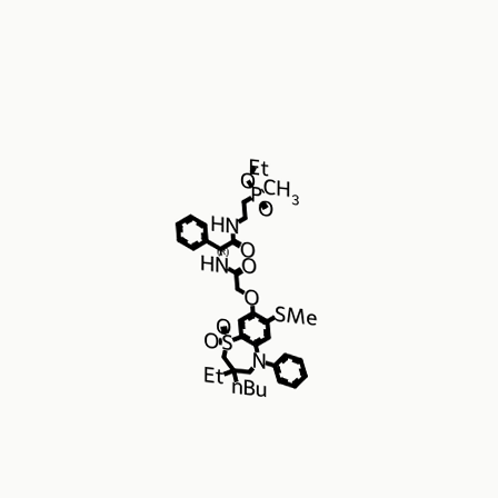 CCCCC1(CC)CN(c2ccccc2)c2cc(SC)c(OCC(=O)N[C@@H](C(=O)NCCP(C)(=O)OCC)c3ccccc3)cc2S(=O)(=O)C1